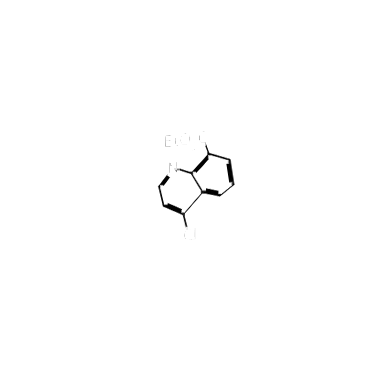 CCOC(=O)c1cccc2c(Cl)ccnc12